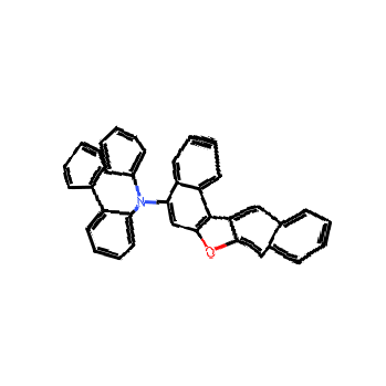 c1ccc(-c2ccccc2N(c2ccccc2)c2cc3oc4cc5ccccc5cc4c3c3ccccc23)cc1